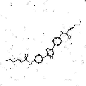 CCCC=CC(=O)Oc1ccc(-c2cnc(-c3ccc(OC(=O)C=CCCC)cc3)o2)cc1